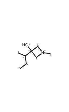 CCC(C)C1(O)CN(C)C1